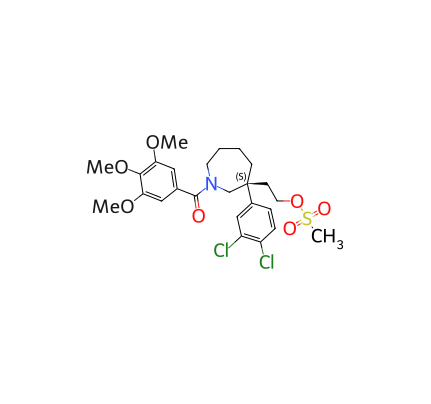 COc1cc(C(=O)N2CCCC[C@](CCOS(C)(=O)=O)(c3ccc(Cl)c(Cl)c3)C2)cc(OC)c1OC